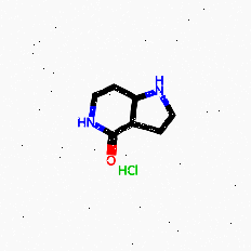 Cl.O=C1NCCC2NCCC12